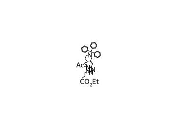 CCOC(=O)CCCn1nnc(/C=C2/CN(C(c3ccccc3)(c3ccccc3)c3ccccc3)CCC2SC(C)=O)n1